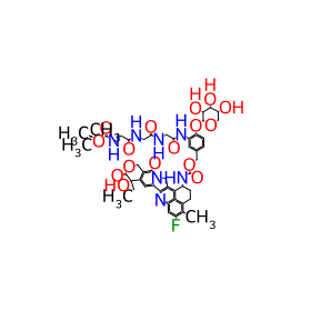 CC[C@@]1(O)C(=O)OCc2c1cc1n(c2=O)Cc2c-1nc1cc(F)c(C)c3c1c2[C@@H](NC(=O)OCc1ccc(O[C@@H]2OC[C@@H](O)[C@H](O)[C@H]2O)c(NC(=O)CNC(=O)CNC(=O)CNC(=O)OC(C)(C)C)c1)CC3